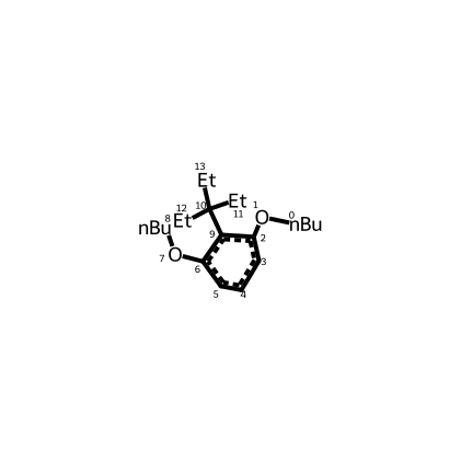 CCCCOc1cccc(OCCCC)c1C(CC)(CC)CC